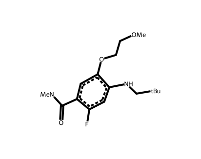 CNC(=O)c1cc(OCCOC)c(NCC(C)(C)C)cc1F